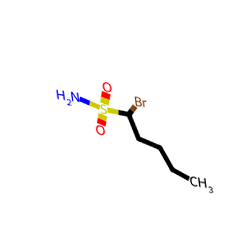 CCCCC(Br)S(N)(=O)=O